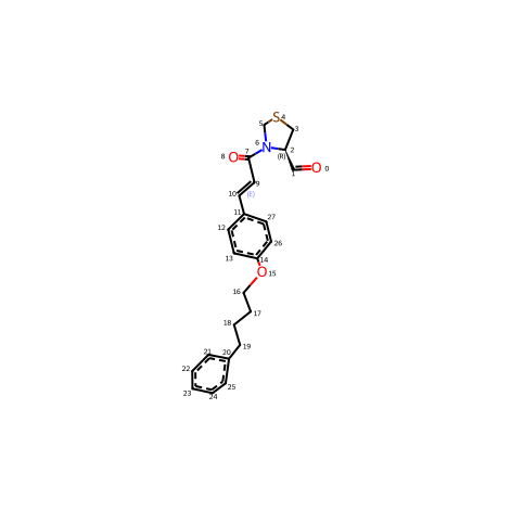 O=C[C@@H]1CSCN1C(=O)/C=C/c1ccc(OCCCCc2ccccc2)cc1